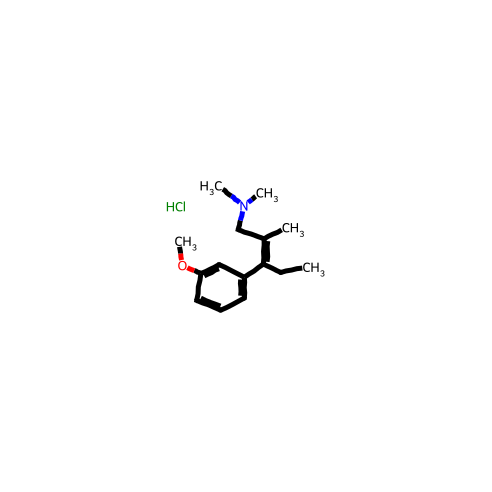 CCC(=C(C)CN(C)C)c1cccc(OC)c1.Cl